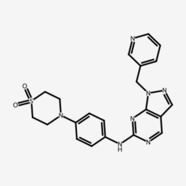 O=S1(=O)CCN(c2ccc(Nc3ncc4cnn(Cc5cccnc5)c4n3)cc2)CC1